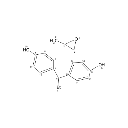 CC1CO1.CCC(c1ccc(O)cc1)c1ccc(O)cc1